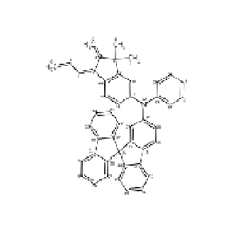 C=C/C=C1\C(=C)C(C)(C)c2cc(N(c3ccccc3)c3ccc4c(c3)C3(c5ccccc5-c5ccccc53)c3ccccc3-4)ccc21